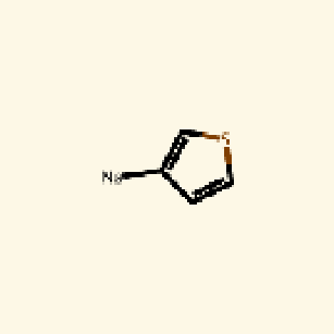 [Na][c]1ccsc1